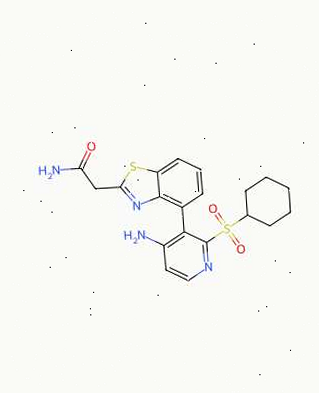 NC(=O)Cc1nc2c(-c3c(N)ccnc3S(=O)(=O)C3CCCCC3)cccc2s1